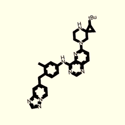 Cc1cc(Nc2ncnc3ccc(N4CCNC5(CC5C(C)(C)C)C4)nc23)ccc1Cc1ccn2ncnc2c1